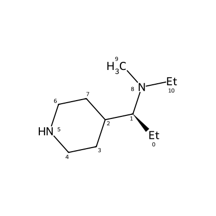 CC[C@@H](C1CCNCC1)N(C)CC